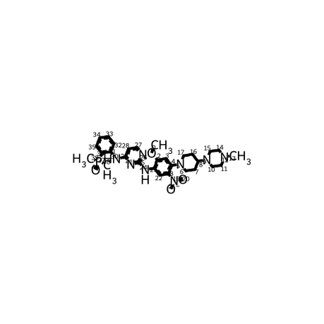 COc1cc(N2CCC(N3CCN(C)CC3)CC2)c([N+](=O)[O-])cc1Nc1nccc(Nc2ccccc2P(C)(C)=O)n1